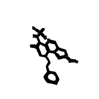 CON1C=C2C=NC3=C(N(CCc4ccccc4)C=C(C)C3NS(C)(=O)=O)N2C1